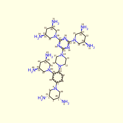 N[C@@H]1C[C@H](N)CN(c2ccc(N3CCN(c4nc(N5C[C@H](N)C[C@H](N)C5)nc(N5C[C@H](N)C[C@H](N)C5)n4)CC3)c(N3C[C@H](N)C[C@H](N)C3)c2)C1